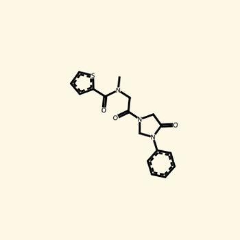 CN(CC(=O)N1CC(=O)N(c2ccccc2)C1)C(=O)c1cccs1